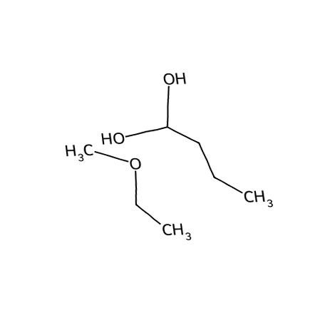 CCCC(O)O.CCOC